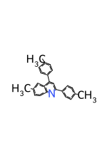 Cc1ccc(-c2cc(-c3ccc(C)cc3)c3cc(C)ccc3n2)cc1